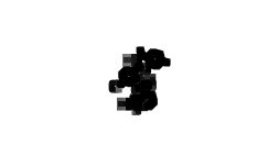 Cc1ccc(C(C)NC(=O)c2ccc(Cl)cc2NS(=O)(=O)C2=CC=CN3SNC=C23)cc1